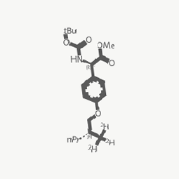 [2H]C([2H])([2H])[C@H](CCC)COc1ccc([C@@H](NC(=O)OC(C)(C)C)C(=O)OC)cc1